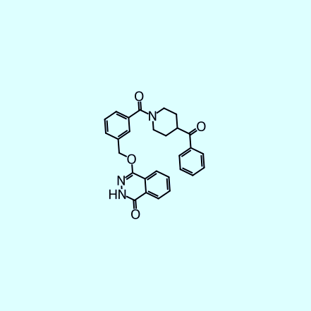 O=C(c1ccccc1)C1CCN(C(=O)c2cccc(COc3n[nH]c(=O)c4ccccc34)c2)CC1